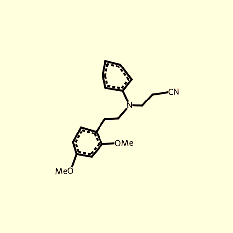 COc1ccc(CCN(CCC#N)c2ccccc2)c(OC)c1